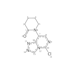 O=C1CCCCN1c1cnc(Cl)n2cnnc12